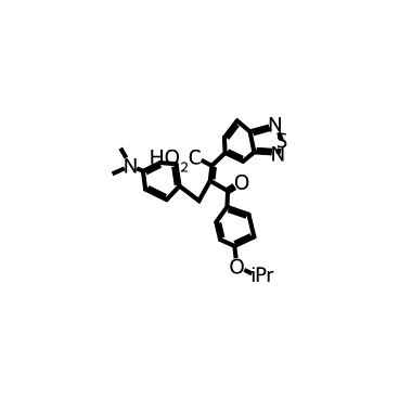 CC(C)Oc1ccc(C(=O)C(Cc2ccc(N(C)C)cc2)=C(C(=O)O)c2ccc3nsnc3c2)cc1